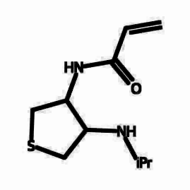 C=CC(=O)NC1CSCC1NC(C)C